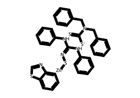 S=C([S-])N(Cc1ccccc1)Cc1ccccc1.[Zn+][S]N=C(Nc1ccccc1)Nc1ccccc1.c1ccc2scnc2c1